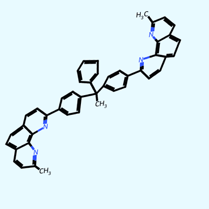 Cc1ccc2ccc3ccc(-c4ccc(C(C)(c5ccccc5)c5ccc(-c6ccc7ccc8ccc(C)nc8c7n6)cc5)cc4)nc3c2n1